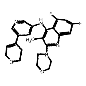 Cc1c(N2CCOCC2)nc2cc(F)cc(F)c2c1Nc1cncc(C2=CCOCC2)c1